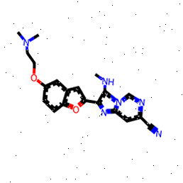 CNc1c(-c2cc3cc(OCCN(C)C)ccc3o2)nc2cc(C#N)ncn12